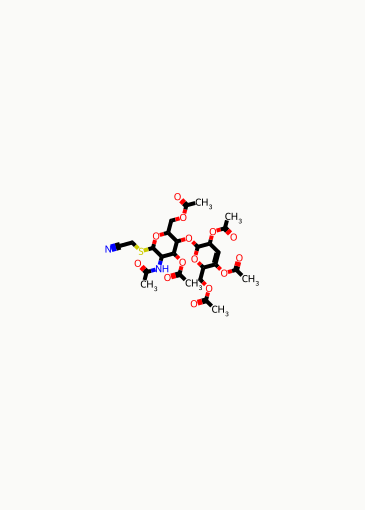 CC(=O)NC1C(SCC#N)OC(COC(C)=O)C(OC2OC(COC(C)=O)C(OC(C)=O)=CC2OC(C)=O)C1OC(C)=O